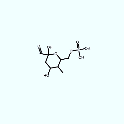 CC1C(O)CC(O)([C]=O)OC1COP(=O)(O)O